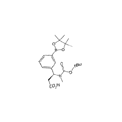 CN(C(=O)OC(C)(C)C)[C@@H](CC(=O)O)c1cccc(B2OC(C)(C)C(C)(C)O2)c1